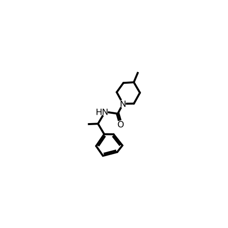 CC1CCN(C(=O)NC(C)c2ccccc2)CC1